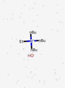 CCCC[N+](CC)(CCCC)CCCC.[OH-]